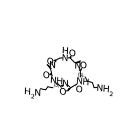 NCCCC[C@@H]1NC(=O)c2coc(n2)[C@H](CCCCN)NC(=O)c2coc(n2)CNC(=O)c2coc1n2